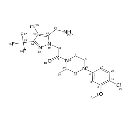 COc1cc(N2CCN(C(=O)Cn3nc(C(F)(F)F)c(Cl)c3CN)C(C)C2)ccc1Cl